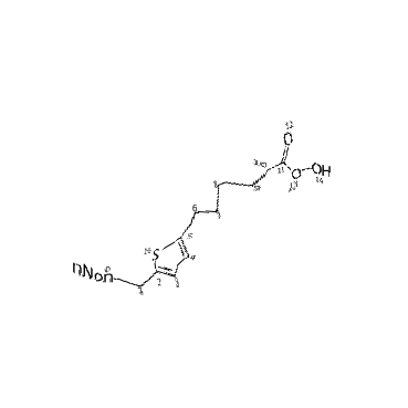 CCCCCCCCCCc1ccc(CCCCCC(=O)OO)s1